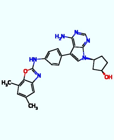 Cc1cc(C)c2oc(Nc3ccc(-c4cn([C@H]5CC[C@@H](O)C5)c5ncnc(N)c45)cc3)nc2c1